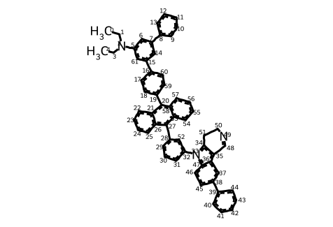 CCN(CC)c1cc(-c2ccccc2)cc(-c2ccc(-c3c4ccccc4c(-c4cccc(-n5c6c(c7cc(-c8ccccc8)ccc75)C=NCC6)c4)c4ccccc34)cc2)c1